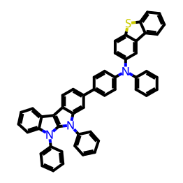 c1ccc(N(c2ccc(-c3ccc4c5c6ccccc6n(-c6ccccc6)c5n(-c5ccccc5)c4c3)cc2)c2ccc3sc4ccccc4c3c2)cc1